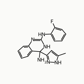 Cc1cc(C2(N)NC(Nc3ccccc3F)=Nc3ccccc32)n[nH]1